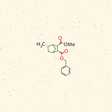 COC(=O)[C@@H]1C2CC(C[C@@H]2C)[C@@H]1C(=O)OCc1ccccc1